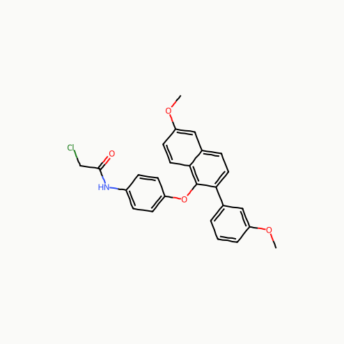 COc1cccc(-c2ccc3cc(OC)ccc3c2Oc2ccc(NC(=O)CCl)cc2)c1